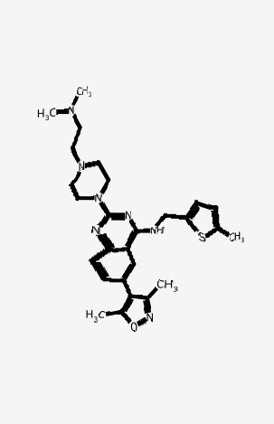 Cc1ccc(CNc2nc(N3CCN(CCN(C)C)CC3)nc3ccc(-c4c(C)noc4C)cc23)s1